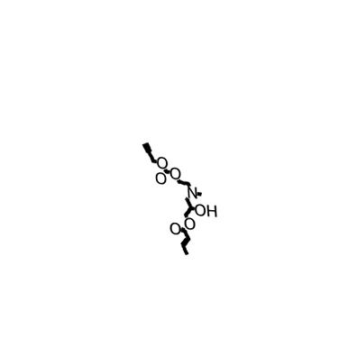 C#CCOC(=O)OCCN(C)CC(O)COC(=O)C=CC